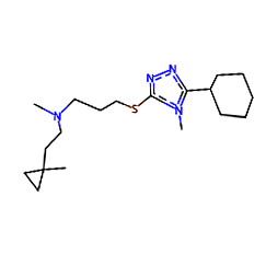 CN(CCCSc1nnc(C2CCCCC2)n1C)CCC1(C)CC1